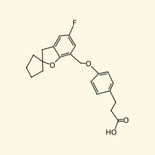 O=C(O)CCc1ccc(OCc2cc(F)cc3c2OC2(CCCC2)C3)cc1